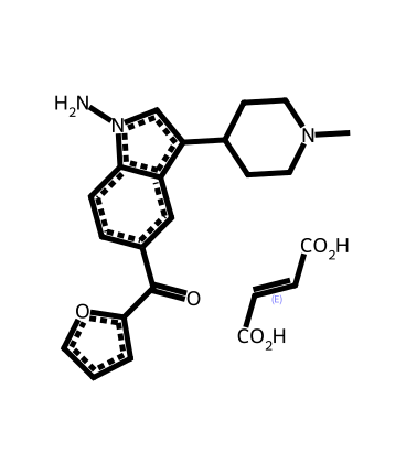 CN1CCC(c2cn(N)c3ccc(C(=O)c4ccco4)cc23)CC1.O=C(O)/C=C/C(=O)O